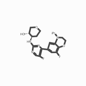 CC(C)N1CCOc2c(F)cc(-c3nc(N[C@@H]4CCOC[C@H]4O)ncc3F)cc21